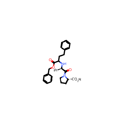 CC(C)[C@@H](NC(CCc1ccccc1)C(=O)OCc1ccccc1)C(=O)N1CCC[C@H]1C(=O)O